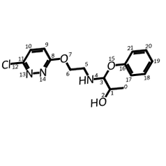 CC(O)C(NCCOc1ccc(Cl)nn1)Oc1ccccc1